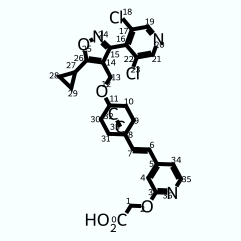 O=C(O)COc1cc(/C=C/C23CCC(OCc4c(-c5c(Cl)cncc5Cl)noc4C4CC4)(CC2)CC3)ccn1